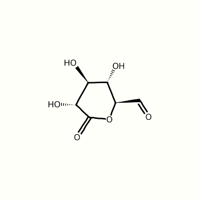 O=C[C@H]1OC(=O)[C@H](O)[C@@H](O)[C@@H]1O